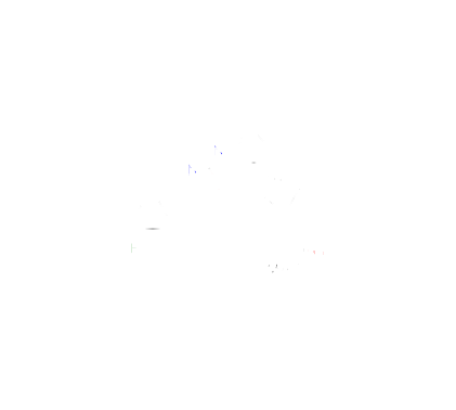 COC(=O)CCc1ccc(-c2cccc(N(C)C(=O)NCCc3ccc(F)cc3)c2)cc1